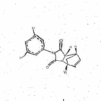 O=C1[C@@H]2[C@@H]3C=C[C@@H](C3)N2C(=O)N1c1cc(Cl)cc(Cl)c1